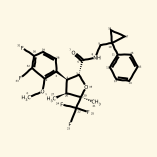 COc1c([C@H]2[C@H](C(=O)NCC3(c4ccccc4)CC3)O[C@@](C)(C(F)(F)F)[C@H]2C)ccc(F)c1F